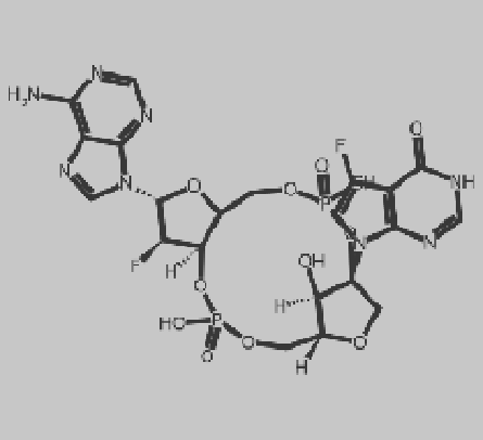 Nc1ncnc2c1ncn2[C@@H]1OC2COP(=O)(S)O[C@]3(n4cc(F)c5c(=O)[nH]cnc54)CO[C@H](COP(=O)(O)O[C@H]2[C@H]1F)[C@H]3O